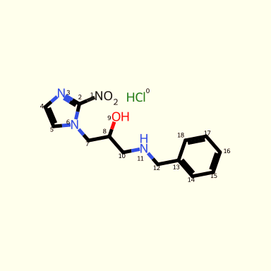 Cl.O=[N+]([O-])c1nccn1CC(O)CNCc1ccccc1